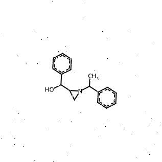 CC(c1ccccc1)N1CC1C(O)c1ccccc1